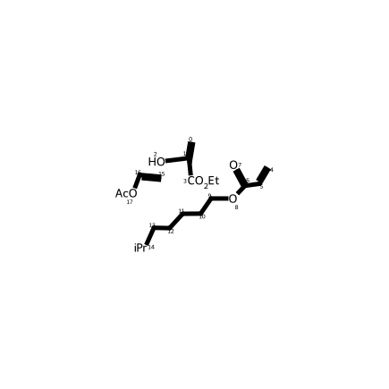 C=C(O)C(=O)OCC.C=CC(=O)OCCCCCC(C)C.C=COC(C)=O